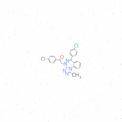 Cc1nnc2n1-c1ccccc1C(c1ccc(Cl)cc1)=NN2CC(=O)c1ccc(Cl)cc1